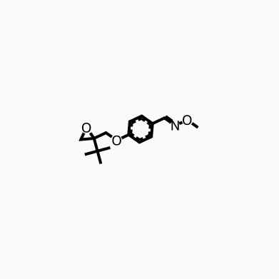 CON=Cc1ccc(OCC2(C(C)(C)C)CO2)cc1